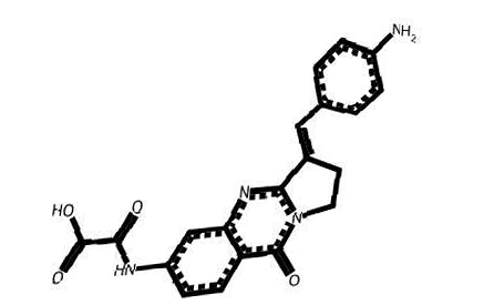 Nc1ccc(/C=C2\CCn3c2nc2cc(NC(=O)C(=O)O)ccc2c3=O)cc1